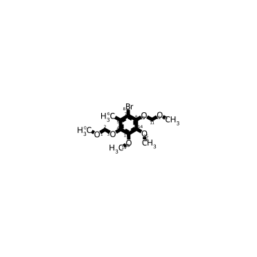 COCOc1c(C)c(Br)c(OCOC)c(OC)c1OC